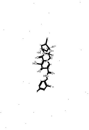 Cc1ccc(CNC(=O)c2cn3c(c(O)c2=O)C(=O)N2[C@H]4CC(C)[C@H](C4)O[C@@H]2C3)c(F)c1